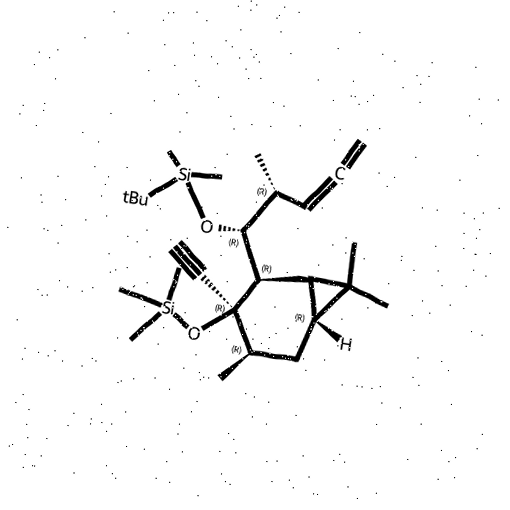 C#C[C@@]1(O[Si](C)(C)C)[C@H](C)C[C@@H]2C([C@@H]1[C@H](O[Si](C)(C)C(C)(C)C)[C@H](C)C=C=C)C2(C)C